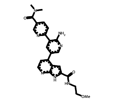 COCCNC(=O)c1cc2c(-c3cnc(N)c(-c4ccc(C(=O)N(C)C)cn4)c3)ccnc2[nH]1